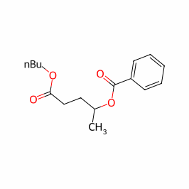 CCCCOC(=O)CCC(C)OC(=O)c1ccccc1